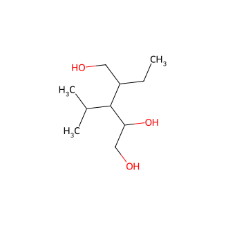 CCC(CO)C(C(C)C)C(O)CO